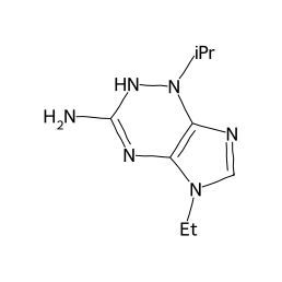 CCn1cnc2c1N=C(N)NN2C(C)C